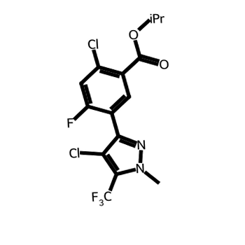 CC(C)OC(=O)c1cc(-c2nn(C)c(C(F)(F)F)c2Cl)c(F)cc1Cl